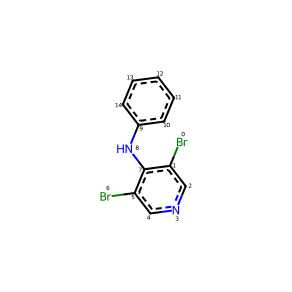 Brc1cncc(Br)c1Nc1ccccc1